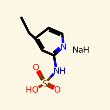 CCc1ccnc(NS(=O)(=O)O)c1.[NaH]